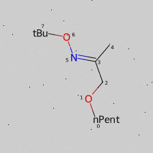 CCCCCOCC(C)=NOC(C)(C)C